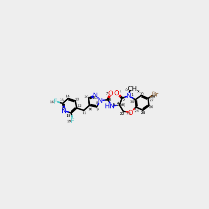 CN1C(=O)[C@H](NC(=O)n2cc(Cc3ccc(F)nc3F)cn2)COc2ccc(Br)cc21